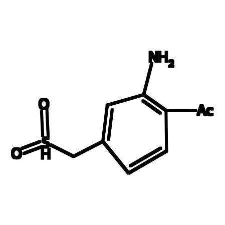 CC(=O)c1ccc(C[SH](=O)=O)cc1N